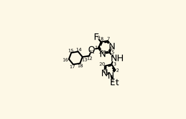 CCn1cc(Nc2ncc(F)c(OCC3CCCCC3)n2)cn1